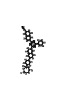 CC1CC[C@H](C)CC(C)(c2ccc(-c3ccc4cc(-c5nc(-c6ccccc6)nc(-c6ccc7cc(C#N)ccc7c6)n5)ccc4c3)cc2)C1